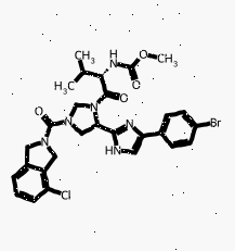 COC(=O)N[C@H](C(=O)N1CN(C(=O)N2Cc3cccc(Cl)c3C2)CC1c1nc(-c2ccc(Br)cc2)c[nH]1)C(C)C